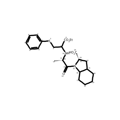 CCOC(=O)C(CSc1ccccc1)N[C@@H](C)C(=O)N1C2CCCCC2C[C@H]1C(=O)O